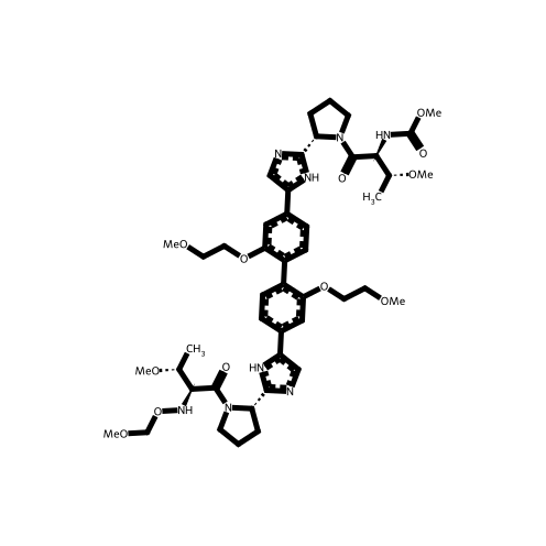 COCCOc1cc(-c2cnc([C@@H]3CCCN3C(=O)[C@@H](NOCOC)[C@@H](C)OC)[nH]2)ccc1-c1ccc(-c2cnc([C@@H]3CCCN3C(=O)[C@@H](NC(=O)OC)[C@@H](C)OC)[nH]2)cc1OCCOC